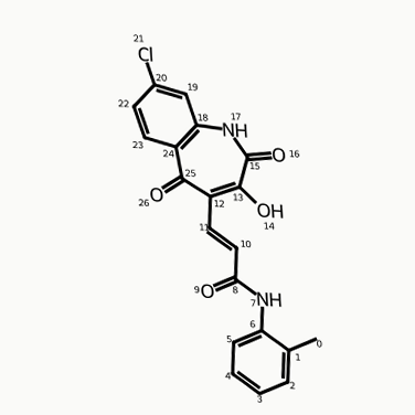 Cc1ccccc1NC(=O)/C=C/c1c(O)c(=O)[nH]c2cc(Cl)ccc2c1=O